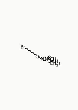 CC(C)(C)OC(=O)N1CCN(CCOCCCCCCCCBr)CC1